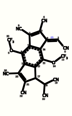 N#C/C=C1/C(C#N)=C(C#N)c2c(OC(F)(F)F)c3c(c(OC(F)(F)F)c21)C(C(C#N)C#N)C(C#N)=C3C#N